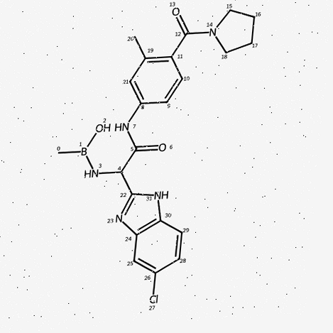 CB(O)NC(C(=O)Nc1ccc(C(=O)N2CCCC2)c(C)c1)c1nc2cc(Cl)ccc2[nH]1